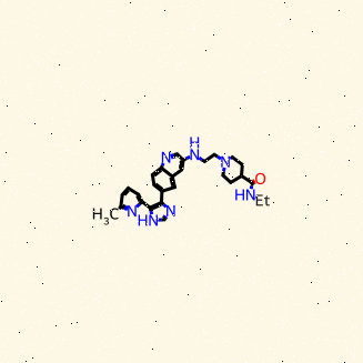 CCNC(=O)C1CCN(CCNc2cnc3ccc(-c4nc[nH]c4-c4cccc(C)n4)cc3c2)CC1